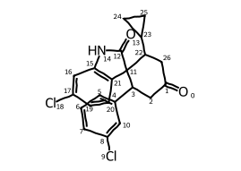 O=C1CC(c2cccc(Cl)c2)C2(C(=O)Nc3cc(Cl)ccc32)C(C2CC2)C1